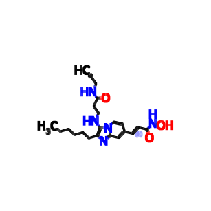 C#CCNC(=O)CCNc1c(CCCCCC)nc2cc(/C=C/C(=O)NO)ccn12